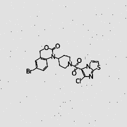 O=C1OCc2cc(Br)ccc2N1C1CCN(S(=O)(=O)c2c(Cl)nc3sccn23)CC1